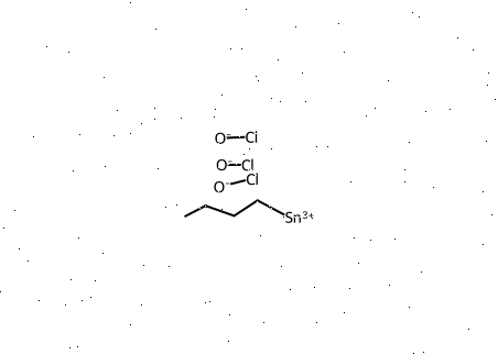 CCC[CH2][Sn+3].[O-]Cl.[O-]Cl.[O-]Cl